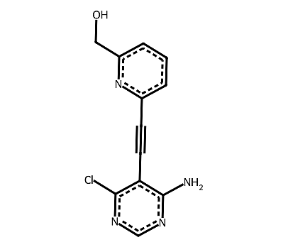 Nc1ncnc(Cl)c1C#Cc1cccc(CO)n1